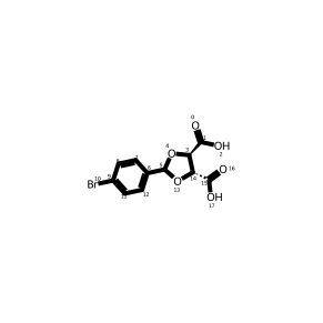 O=C(O)[C@@H]1OC(c2ccc(Br)cc2)O[C@H]1C(=O)O